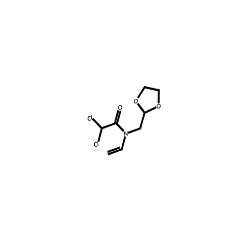 C=CN(CC1OCCO1)C(=O)C(Cl)Cl